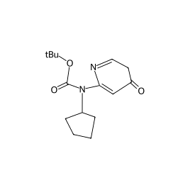 CC(C)(C)OC(=O)N(C1=CC(=O)CC=N1)C1CCCC1